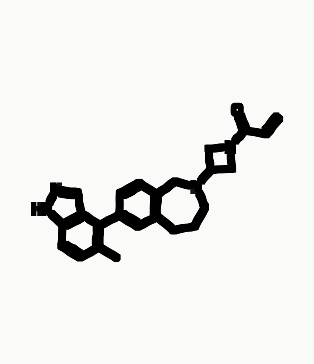 C=CC(=O)N1CC(N2CCCc3cc(-c4c(C)ccc5[nH]ncc45)ccc3C2)C1